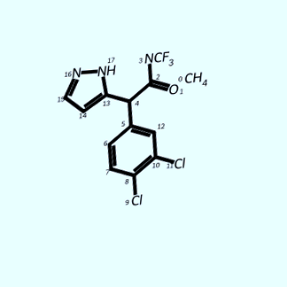 C.O=C(NC(F)(F)F)C(c1ccc(Cl)c(Cl)c1)c1ccn[nH]1